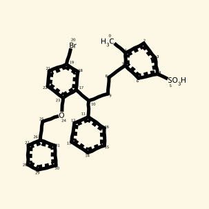 Cc1ccc(S(=O)(=O)O)cc1CCC(c1ccccc1)c1cc(Br)ccc1OCc1ccccc1